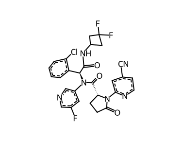 N#Cc1ccnc(N2C(=O)CC[C@@H]2C(=O)N(c2cncc(F)c2)[C@H](C(=O)NC2CC(F)(F)C2)c2ccccc2Cl)c1